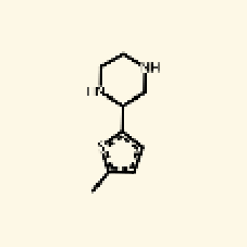 Cc1ccc(C2CNCCN2)s1